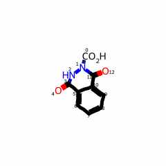 O=C(O)n1[nH]c(=O)c2ccccc2c1=O